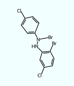 Clc1ccc(N(Br)Nc2cc(Cl)ccc2Br)cc1